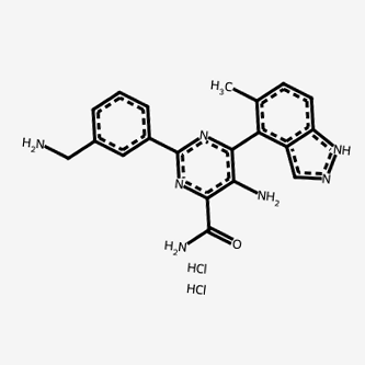 Cc1ccc2[nH]ncc2c1-c1nc(-c2cccc(CN)c2)nc(C(N)=O)c1N.Cl.Cl